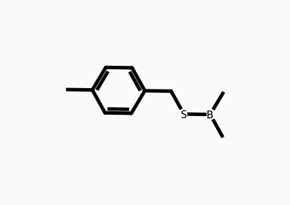 CB(C)SCc1ccc(C)cc1